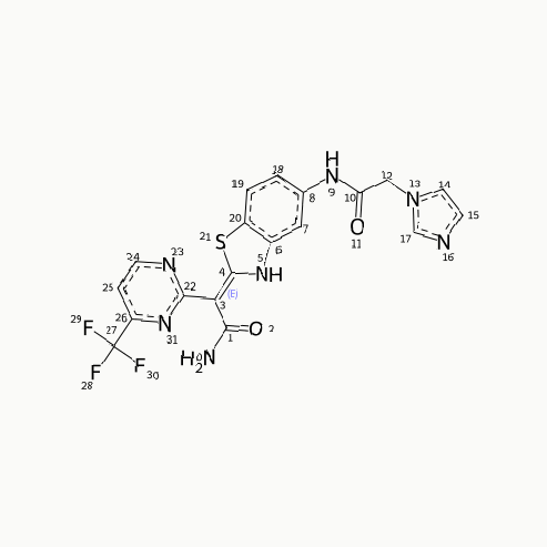 NC(=O)/C(=C1\Nc2cc(NC(=O)Cn3ccnc3)ccc2S1)c1nccc(C(F)(F)F)n1